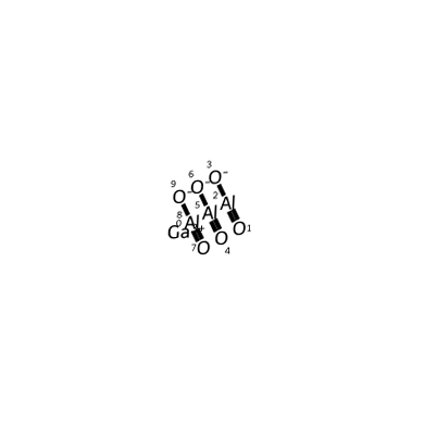 [Ga+3].[O]=[Al][O-].[O]=[Al][O-].[O]=[Al][O-]